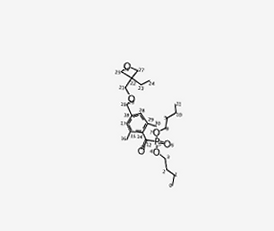 CCCCOP(=O)(OCCCC)C(=O)c1c(C)cc(COCC2(CC)COC2)cc1C